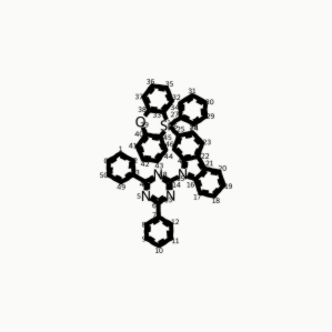 c1ccc(-c2nc(-c3ccccc3)nc(-n3c4ccccc4c4ccc([Si]5(c6ccccc6)c6ccccc6Oc6ccccc65)cc43)n2)cc1